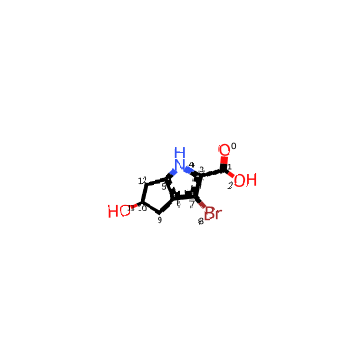 O=C(O)c1[nH]c2c(c1Br)CC(O)C2